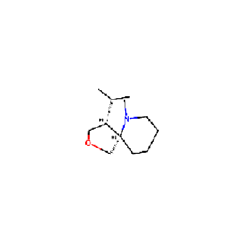 CC(C)[C@H]1COC[C@]12CCCCN2C